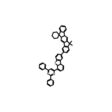 CC1(C)C2=CC3c4ccccc4C4(CCCCC4)C3C=C2c2cc(-c3ccc4c(c3)C3C=CC=C(c5cc(-c6ccccc6)nc(-c6ccccc6)n5)C3S4)ccc21